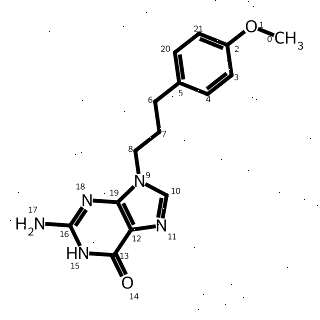 COc1ccc(CCCn2cnc3c(=O)[nH]c(N)nc32)cc1